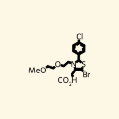 COCCOCCN1C(CC(=O)O)=C(Br)SC1c1ccc(Cl)cc1